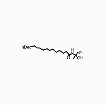 [CH2]C(O)(CCC)NC(=O)CCCCCCCCCCCCCCCCCCCCC